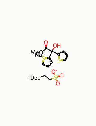 CCCCCCCCCCCCS(=O)(=O)[O-].COC(=O)C(O)(c1cccs1)c1cccs1.[Na+]